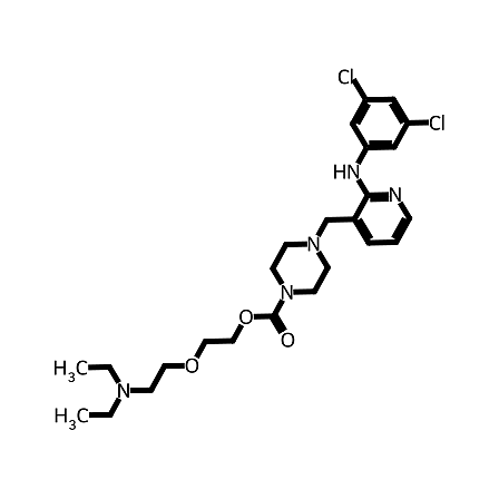 CCN(CC)CCOCCOC(=O)N1CCN(Cc2cccnc2Nc2cc(Cl)cc(Cl)c2)CC1